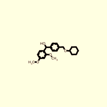 COc1ccc(C(O)c2ccc(COC3CCCCC3)cc2)c(OC)c1